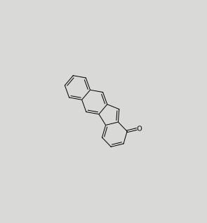 O=C1C=CC=C2C1=Cc1cc3ccccc3cc12